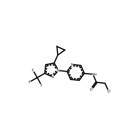 O=C(CCl)Nc1ccc(-n2nc(C(F)(F)F)cc2C2CC2)nc1